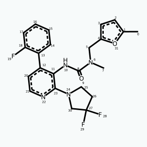 Cc1ccc(CN(C)C(=O)Nc2c(-c3ccccc3F)ccnc2N2CCC(F)(F)C2)o1